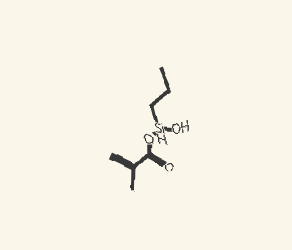 C=C(C)C(=O)O[SiH](O)CCC